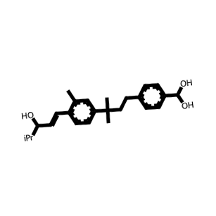 Cc1cc(C(C)(C)CCc2ccc(C(O)O)cc2)ccc1C=CC(O)C(C)C